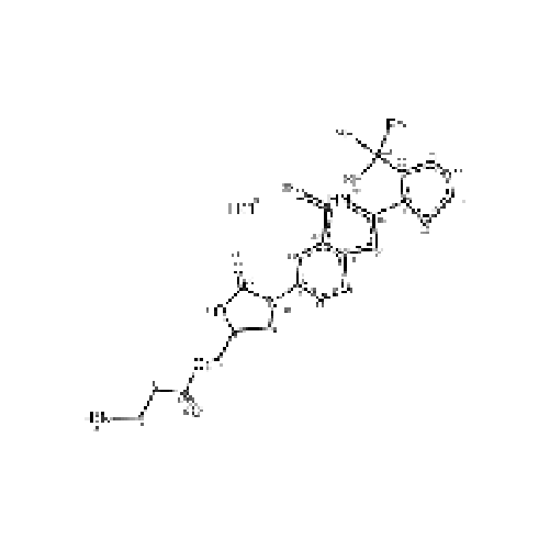 Cl.NCCC(=O)OCC1CN(c2ccc3cc(-c4ccccc4C(F)(F)F)[nH]c(=O)c3c2)C(=O)O1